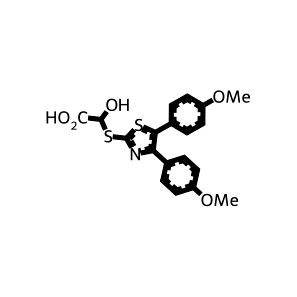 COc1ccc(-c2nc(SC(O)C(=O)O)sc2-c2ccc(OC)cc2)cc1